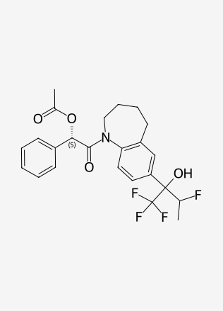 CC(=O)O[C@H](C(=O)N1CCCCc2cc(C(O)(C(C)F)C(F)(F)F)ccc21)c1ccccc1